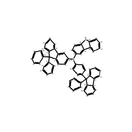 c1ccc(C2(c3ccc(N(c4ccc5c(c4)-c4ccccc4C5(c4ccccc4)c4ccccc4)c4ccc5sc6ccccc6c5c4)cc3)c3ccccc3-c3ccccc32)cc1